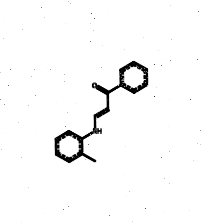 Cc1ccccc1N/C=C/C(=O)c1ccccc1